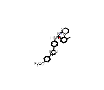 Cc1cccc(C)c1N1CCCS/C1=N/C(=O)Nc1ccc(-c2ncn(-c3ccc(OC(F)(F)F)cc3)n2)cc1